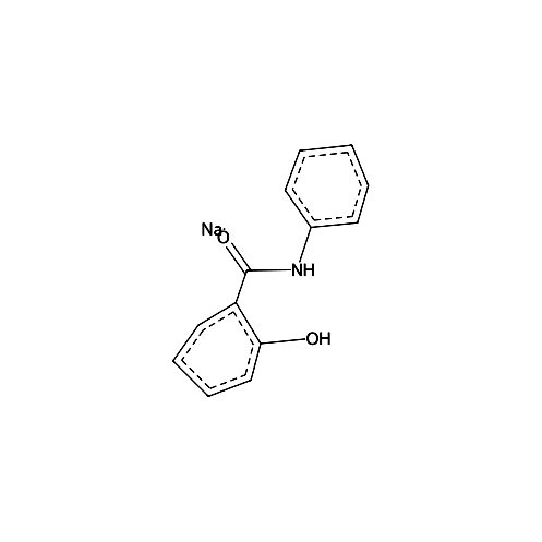 O=C(Nc1ccccc1)c1ccccc1O.[Na]